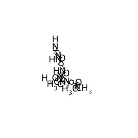 CC(C)n1nc(C(=O)NCc2ccc(NC(=O)N3CCC4(CCNC4)CC3)cc2)c2c1[C@@H](C)CN(c1ccc(C(=O)N(C)C)cc1)C2